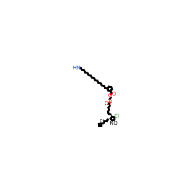 CCC1(CC/C=C/[C@@H]2[C@@H](C/C=C\CCCC(=O)OCCOC(=O)c3cccc(CCCCCCCCCCCCCCCC=N)c3)[C@H](Cl)C[C@H]2N=O)CCC1